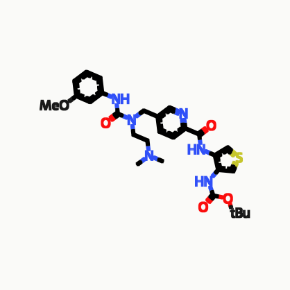 COc1cccc(NC(=O)N(CCN(C)C)Cc2ccc(C(=O)Nc3cscc3NC(=O)OC(C)(C)C)nc2)c1